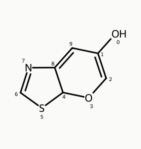 OC1=COC2SC=NC2=C1